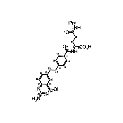 CC(C)NC(=O)CC[C@H](NC(=O)c1ccc(CCc2ccc3nc(N)nc(O)c3c2)cc1)C(=O)O